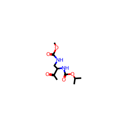 COC(=O)NCC(NC(=O)OC(C)C)C(C)=O